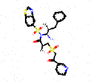 CC(CS(=O)(=O)CC(=O)c1cccnc1)C(=O)N([C@H](N)[C@@H](C)Cc1ccccc1)S(=O)(=O)c1ccc2scnc2c1